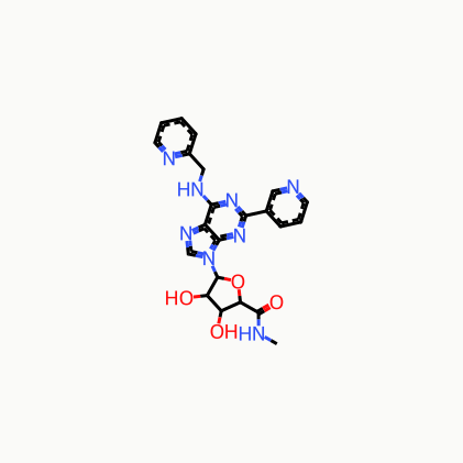 CNC(=O)C1OC(n2cnc3c(NCc4ccccn4)nc(-c4cccnc4)nc32)C(O)C1O